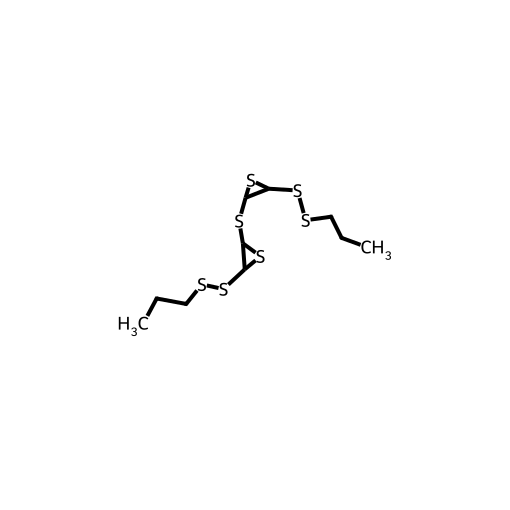 CCCSSC1SC1SC1SC1SSCCC